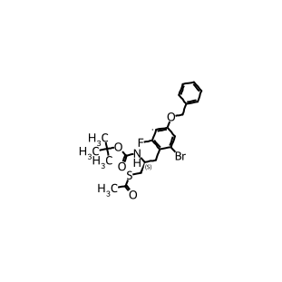 CC(=O)SC[C@H](Cc1c(F)[c]c(OCc2ccccc2)cc1Br)NC(=O)OC(C)(C)C